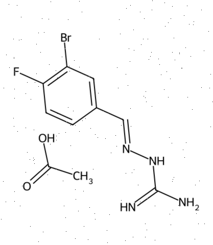 CC(=O)O.N=C(N)NN=Cc1ccc(F)c(Br)c1